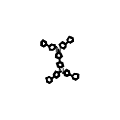 C1=CCCC(c2ccc(N(c3ccc(-c4ccc(N(C5=CC=C(c6ccccc6)CC5)C5C=CC(C6C=CC=CC6)=CC5)cc4)cc3)c3ccc(C4C=CC=CC4)cc3)cc2)=C1